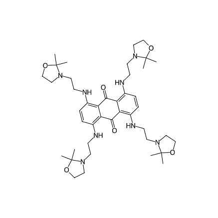 CC1(C)OCCN1CCNc1ccc(NCCN2CCOC2(C)C)c2c1C(=O)c1c(NCCN3CCOC3(C)C)ccc(NCCN3CCOC3(C)C)c1C2=O